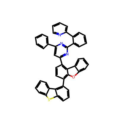 c1ccc(-c2cc(-c3ccc(-c4cccc5sc6ccccc6c45)c4oc5ccccc5c34)nc(-c3ccccc3-c3ccccn3)n2)cc1